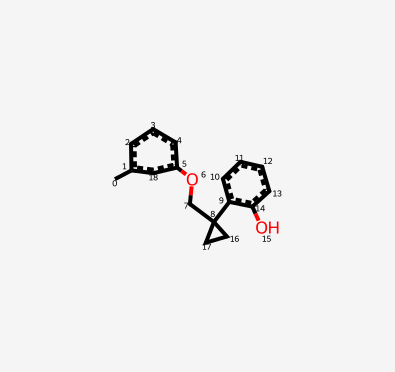 Cc1cccc(OCC2(c3ccccc3O)CC2)c1